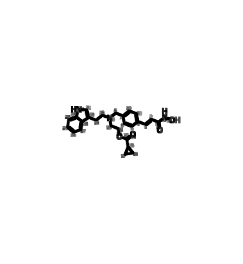 O=C(/C=C/c1ccc(CN(CCOC(=O)C2CC2)CCc2c[nH]c3ccccc23)cc1)NO